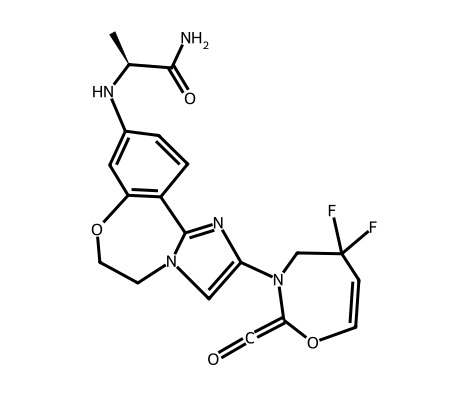 C[C@H](Nc1ccc2c(c1)OCCn1cc(N3CC(F)(F)C=COC3=C=O)nc1-2)C(N)=O